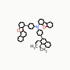 C=Cc1c(/C=C\C)c(-c2ccc(N(c3ccc(-c4cccc5oc6c7ccccc7ccc6c45)cc3)c3cccc4c3oc3ccccc34)cc2)cc2ccccc12